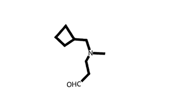 CN(CCC=O)CC1CCC1